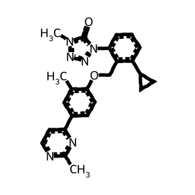 Cc1nccc(-c2ccc(OCc3c(C4CC4)cccc3-n3nnn(C)c3=O)c(C)c2)n1